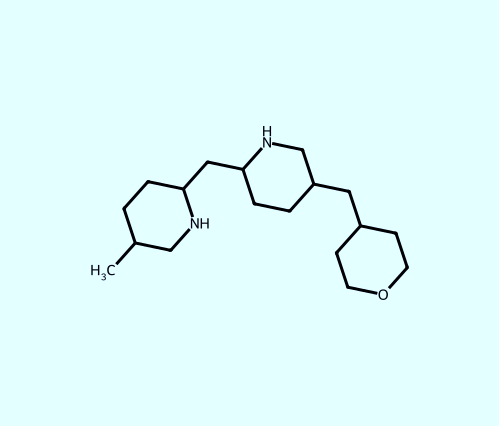 CC1CCC(CC2CCC(CC3CCOCC3)CN2)NC1